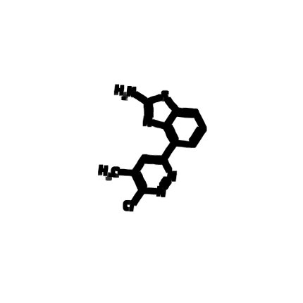 Cc1cc(-c2cccc3sc(N)nc23)nnc1Cl